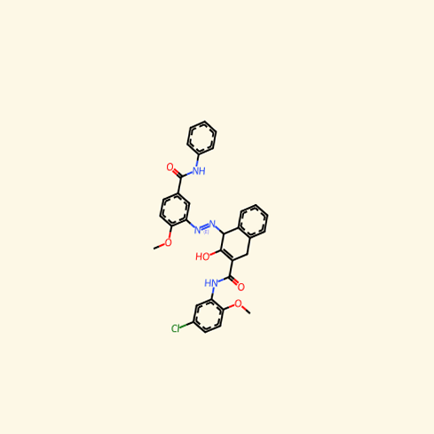 COc1ccc(C(=O)Nc2ccccc2)cc1/N=N/C1C(O)=C(C(=O)Nc2cc(Cl)ccc2OC)Cc2ccccc21